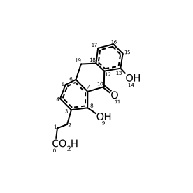 O=C(O)CCc1ccc2c(c1O)C(=O)c1c(O)cccc1C2